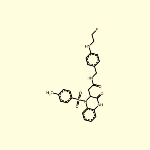 Cc1ccc(S(=O)(=O)N2c3ccccc3NC(=O)C2CC(=O)NCc2ccc(NCCF)cc2)cc1